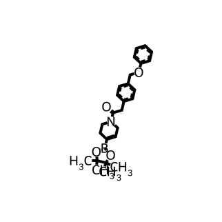 CC1(C)OB(C2=CCN(C(=O)Cc3ccc(COc4ccccc4)cc3)CC2)OC1(C)C